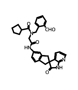 O=Cc1ccccc1CN(CC(=O)Nc1ccc2c(c1)CC1(C2)C(=O)Nc2ncccc21)C(=O)C1CCCC1